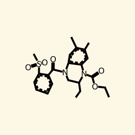 CCOC(=O)N1c2cc(C)c(C)cc2N(C(=O)c2ccccc2S(C)(=O)=O)CC1CC